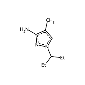 CCC(CC)n1cc(C)c(N)n1